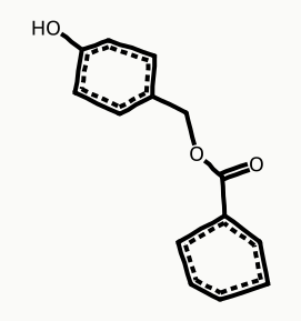 O=C(OCc1ccc(O)cc1)c1ccccc1